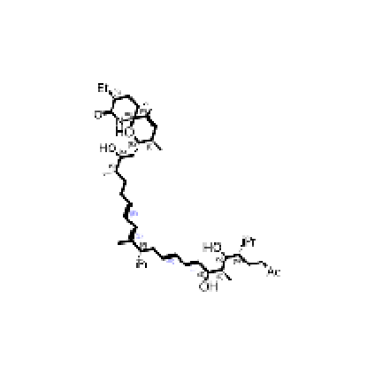 CC[C@H]1C[C@H](C)[C@@]2(NC1=O)O[C@@H](C[C@H](O)[C@@H](C)CC/C=C/C=C(\C)[C@H](C/C=C/C=C/[C@H](O)[C@H](C)[C@@H](O)[C@@H](CCC(C)=O)C(C)C)C(C)C)[C@H](C)C=C2C